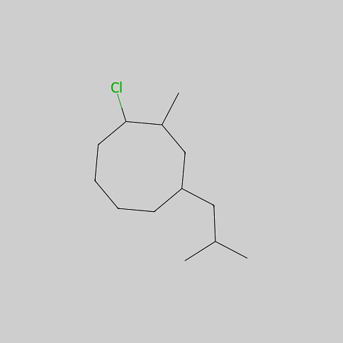 CC(C)CC1CCCCC(Cl)C(C)C1